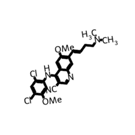 COc1cc(Nc2c(C#N)cnc3cc(C=CCCN(C)C)c(OC)cc23)c(Cl)cc1Cl